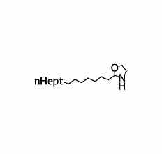 CCCCCCCCCCCCCCC1NCCO1